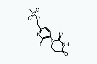 CS(=O)(=O)OCc1ccc(N2CCC(=O)NC2=O)c(F)n1